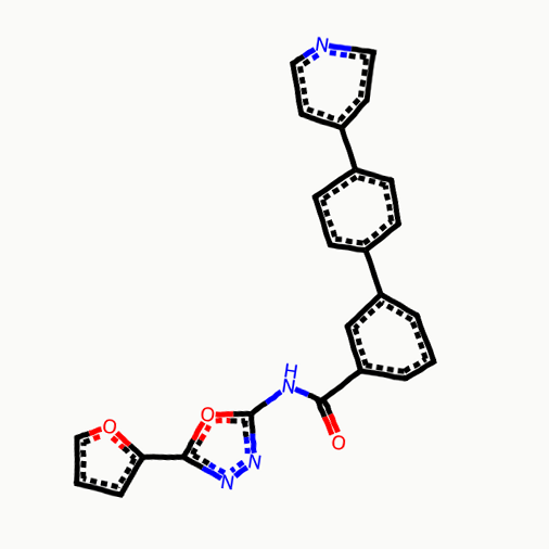 O=C(Nc1nnc(-c2ccco2)o1)c1cccc(-c2ccc(-c3ccncc3)cc2)c1